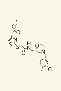 CCOC(=O)Cc1csc(SCC(=O)NCC2CN(Cc3ccc(C)c(Cl)c3)CCO2)n1